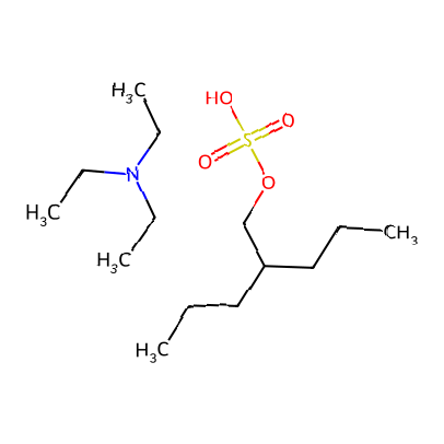 CCCC(CCC)COS(=O)(=O)O.CCN(CC)CC